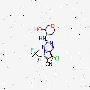 CC(c1c(C#N)c(Cl)c2cnc(N[C@@H]3CCOC[C@@H]3O)nn12)C(C)(C)F